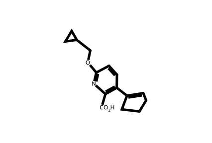 O=C(O)c1nc(OCC2CC2)ccc1C1=CCCC1